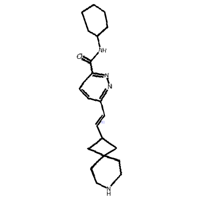 O=C(NC1CCCCC1)c1ccc(/C=C/C2CC3(CCNCC3)C2)nn1